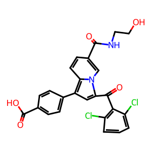 O=C(O)c1ccc(-c2cc(C(=O)c3c(Cl)cccc3Cl)n3cc(C(=O)NCCO)ccc23)cc1